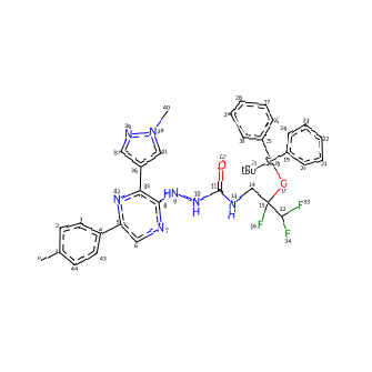 Cc1ccc(-c2cnc(NNC(=O)NCC(F)(O[Si](c3ccccc3)(c3ccccc3)C(C)(C)C)C(F)F)c(-c3cnn(C)c3)n2)cc1